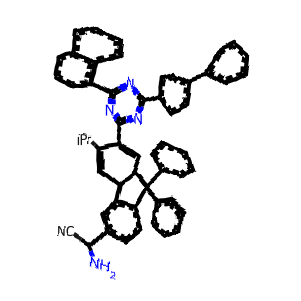 CC(C)C1=CC2c3cc(C(N)C#N)ccc3C(c3ccccc3)(c3ccccc3)C2C=C1c1nc(-c2ccc(-c3ccccc3)cc2)nc(-c2cccc3ccccc23)n1